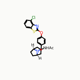 CC(=O)NC1C[C@H]2CC[C@@H](C1)N2Cc1ccc(Oc2nc3c(Cl)cccc3s2)cc1